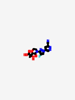 CC(O)(C(=O)O)C1OCCN(c2nn(-c3cnnc(C#N)c3)cc2F)C1=O